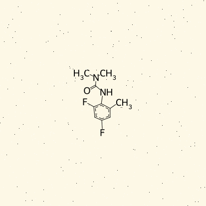 Cc1cc(F)cc(F)c1NC(=O)N(C)C